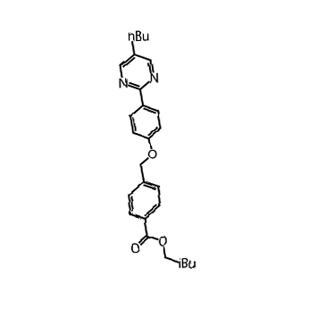 CCCCc1cnc(-c2ccc(OCc3ccc(C(=O)OCC(C)CC)cc3)cc2)nc1